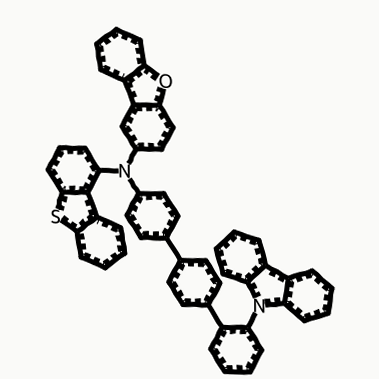 c1ccc(-n2c3ccccc3c3ccccc32)c(-c2ccc(-c3ccc(N(c4ccc5oc6ccccc6c5c4)c4cccc5sc6ccccc6c45)cc3)cc2)c1